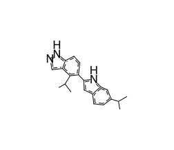 CC(C)c1ccc2cc(-c3ccc4[nH]ncc4c3C(C)C)[nH]c2c1